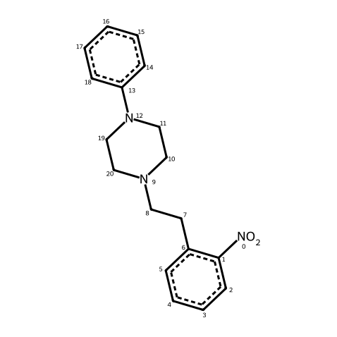 O=[N+]([O-])c1ccccc1CCN1CCN(c2ccccc2)CC1